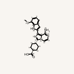 COc1cccc2cc(-c3nc([C@H]4CC[C@H](C(=O)O)CC4)n4ccnc(N)c34)[nH]c12